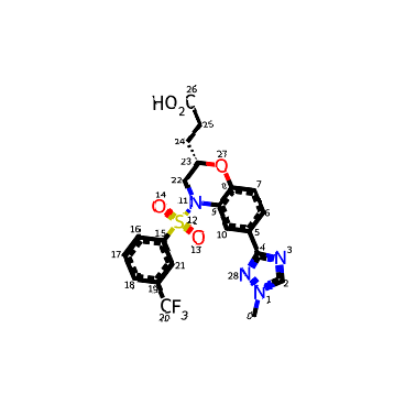 Cn1cnc(-c2ccc3c(c2)N(S(=O)(=O)c2cccc(C(F)(F)F)c2)C[C@H](CCC(=O)O)O3)n1